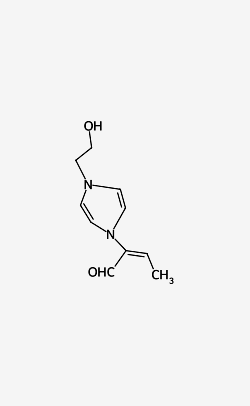 CC=C(C=O)N1C=CN(CCO)C=C1